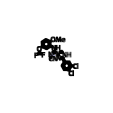 COc1ccc(OC(F)F)cc1N/C(=N/C#N)N1CNC(c2ccc(Cl)c(Cl)c2)=N1